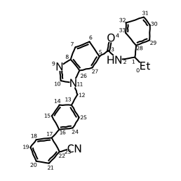 CCC(NC(=O)c1ccc2ncn(Cc3ccc(-c4ccccc4C#N)cc3)c2c1)c1ccccc1